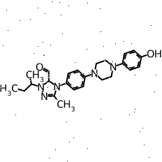 CCC(C)N1N=C(C)N(c2ccc(N3CCN(c4ccc(O)cc4)CC3)cc2)C1C=O